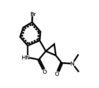 CN(C)C(=O)C1CC12C(=O)Nc1ccc(Br)cc12